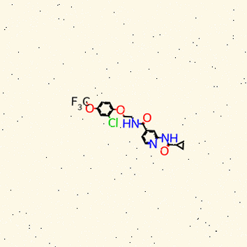 O=C(NCCOc1ccc(OC(F)(F)F)cc1Cl)c1ccnc(NC(=O)C2CC2)c1